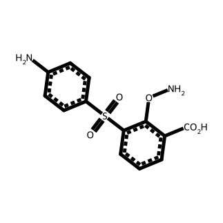 NOc1c(C(=O)O)cccc1S(=O)(=O)c1ccc(N)cc1